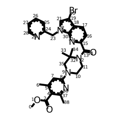 COC(=O)c1c(C)cc(N2CCN(C(=O)c3ccc4c(Br)cn(Cc5ccccn5)c4n3)C(C)(C)C2)nc1C